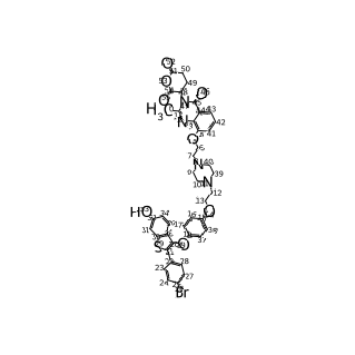 Cc1nc2c(OCCN3CCN(CCOc4ccc(Oc5c(-c6ccc(Br)cc6)sc6cc(O)ccc56)cc4)CC3)cccc2c(=O)n1C1CCC(=O)OC1=O